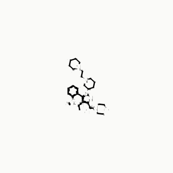 CCc1c(C(=O)N2CCOCC2)nn([C@H]2CCCN(CCN3CCCCC3)C2)c1-c1ccccc1S(=O)O